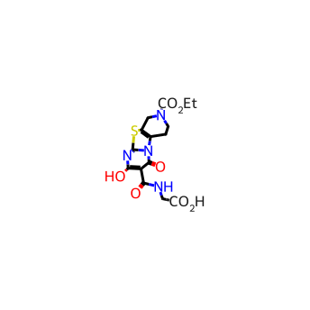 CCOC(=O)N1CCc2c(sc3nc(O)c(C(=O)NCC(=O)O)c(=O)n23)C1